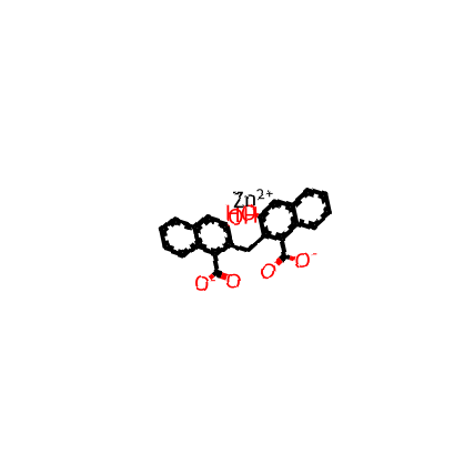 O=C([O-])c1c(Cc2c(O)cc3ccccc3c2C(=O)[O-])c(O)cc2ccccc12.[Zn+2]